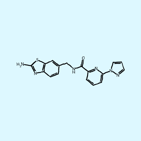 Nc1nc2ccc(CNC(=O)c3cccc(-n4cccn4)n3)cc2s1